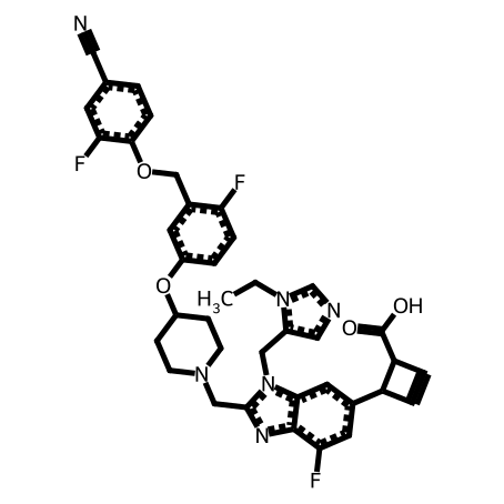 CCn1cncc1Cn1c(CN2CCC(Oc3ccc(F)c(COc4ccc(C#N)cc4F)c3)CC2)nc2c(F)cc(C3C#CC3C(=O)O)cc21